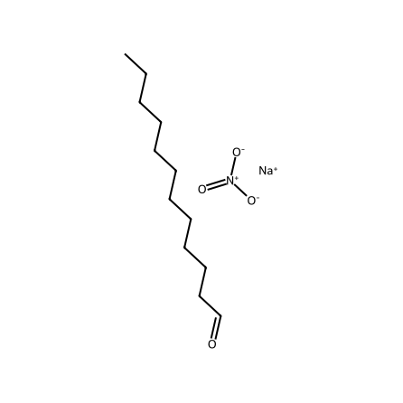 CCCCCCCCCCCC=O.O=[N+]([O-])[O-].[Na+]